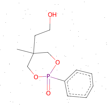 CC1(CCO)COP(=O)(c2ccccc2)OC1